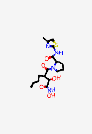 CCCCC(C(=O)N1CCCC1C(=O)Nc1nc(C)cs1)C(O)C(=O)NO